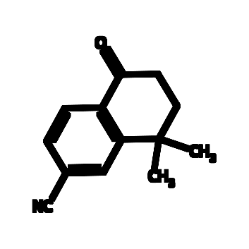 CC1(C)CCC(=O)c2ccc(C#N)cc21